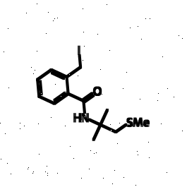 CSCC(C)(C)NC(=O)c1ccccc1CI